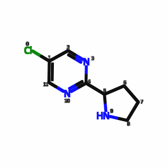 Clc1cnc(C2CCCN2)nc1